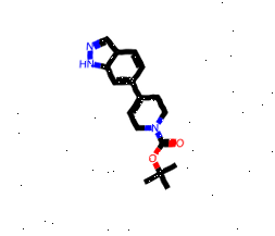 CC(C)(C)OC(=O)N1CC=C(C2=CC3NN=CC3C=C2)CC1